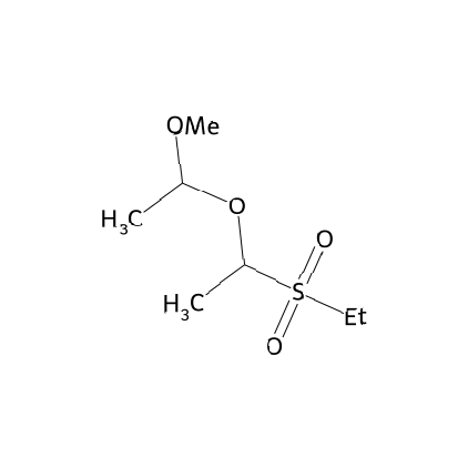 CCS(=O)(=O)C(C)OC(C)OC